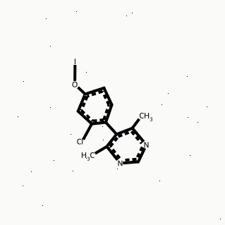 Cc1ncnc(C)c1-c1ccc(OI)cc1Cl